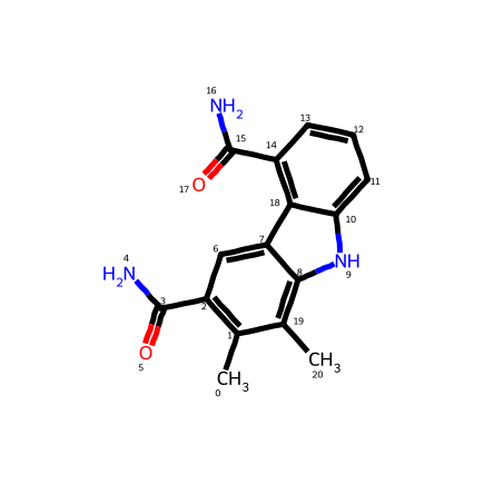 Cc1c(C(N)=O)cc2c([nH]c3cccc(C(N)=O)c32)c1C